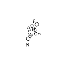 N#Cc1ccc2c(cnn2CC2CC3(C(=O)N4C[C@H](O)C[C@H]4c4cccc(F)c4)CCC23)c1